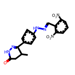 CC1CC(=O)NN=C1c1ccc(NN=Cc2c([N+](=O)[O-])cccc2[N+](=O)[O-])cc1